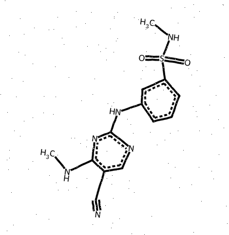 CNc1nc(Nc2cccc(S(=O)(=O)NC)c2)ncc1C#N